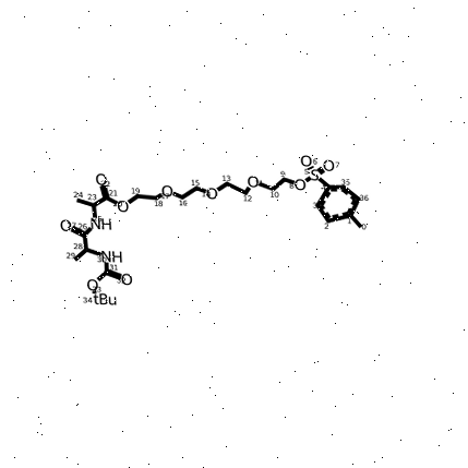 Cc1ccc(S(=O)(=O)OCCOCCOCCOCCOC(=O)C(C)NC(=O)C(C)NC(=O)OC(C)(C)C)cc1